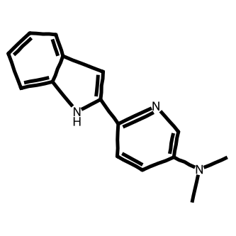 CN(C)c1ccc(-c2cc3ccccc3[nH]2)nc1